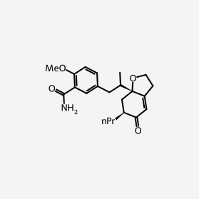 CCC[C@H]1C[C@]2(C(C)Cc3ccc(OC)c(C(N)=O)c3)OCCC2=CC1=O